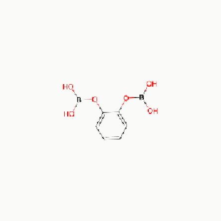 OB(O)Oc1ccccc1OB(O)O